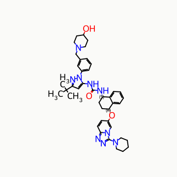 CC(C)(C)c1cc(NC(=O)N[C@H]2CC[C@@H](Oc3ccc4nnc(N5CCCCC5)n4c3)c3ccccc32)n(-c2cccc(CN3CCC(O)CC3)c2)n1